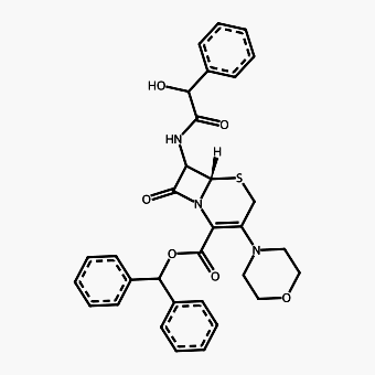 O=C(OC(c1ccccc1)c1ccccc1)C1=C(N2CCOCC2)CS[C@H]2C(NC(=O)C(O)c3ccccc3)C(=O)N12